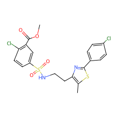 COC(=O)c1cc(S(=O)(=O)NCCc2nc(-c3ccc(Cl)cc3)sc2C)ccc1Cl